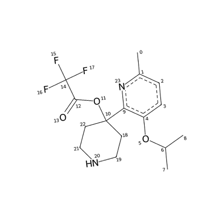 Cc1ccc(OC(C)C)c(C2(OC(=O)C(F)(F)F)CCNCC2)n1